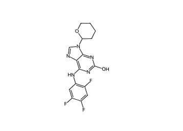 Oc1nc(Nc2cc(F)c(F)cc2F)c2ncn(C3CCCCO3)c2n1